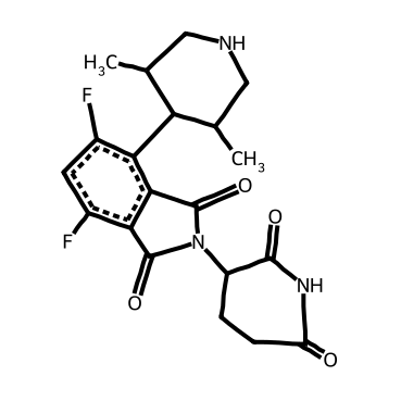 CC1CNCC(C)C1c1c(F)cc(F)c2c1C(=O)N(C1CCC(=O)NC1=O)C2=O